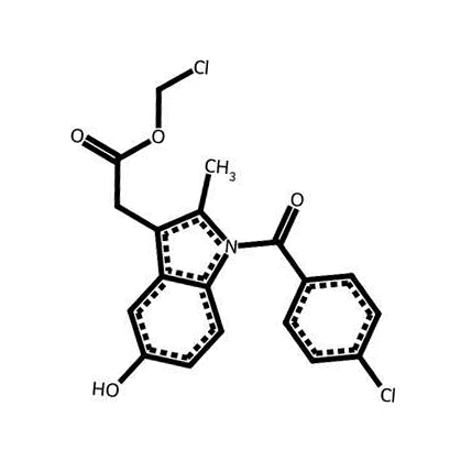 Cc1c(CC(=O)OCCl)c2cc(O)ccc2n1C(=O)c1ccc(Cl)cc1